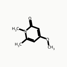 COc1cc(C)n(C)c(=O)c1